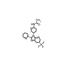 CC(=O)Nc1ccc(-n2c(-c3ccccn3)nc3cc(C(F)(F)F)cnc32)cn1